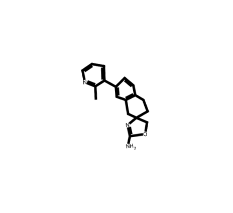 Cc1ncccc1-c1ccc2c(c1)CC1(CC2)COC(N)=N1